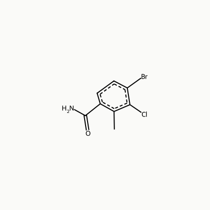 Cc1c(C(N)=O)ccc(Br)c1Cl